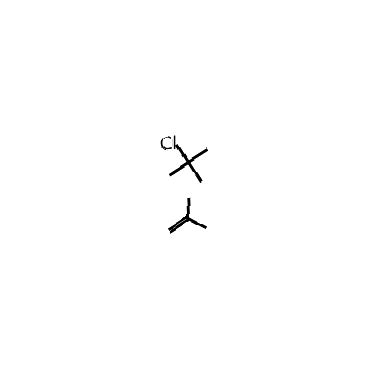 C=C(C)C.CC(C)(C)Cl